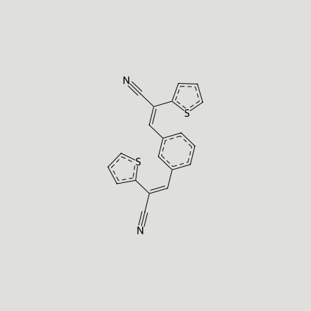 N#CC(=Cc1cccc(C=C(C#N)c2cccs2)c1)c1cccs1